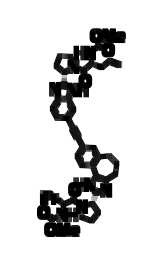 C=CC[C@H](NC(=O)OC)C(=O)N1CCC[C@H]1c1nc2ccc(C#Cc3ccc4c(c3)CCCc3nc([C@@H]5CCCN5C(=O)[C@@H](NC(=O)OC)C(C)C)[nH]c3-4)cc2[nH]1